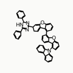 C1=c2oc3cccc(-c4cccc5c4oc4cccc(-n6c7ccccc7c7ccccc76)c45)c3c2=CCC1C1=NC(c2ccccc2)NC(c2ccccc2)=N1